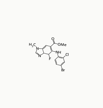 COC(=O)C1=C(Nc2ccc(Br)cc2Cl)C(F)C2N=CN(C)C2=C1